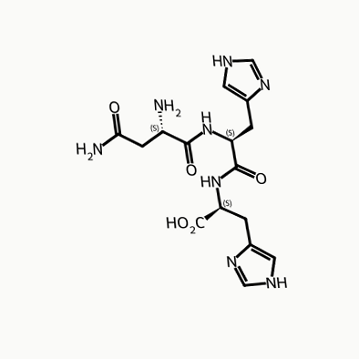 NC(=O)C[C@H](N)C(=O)N[C@@H](Cc1c[nH]cn1)C(=O)N[C@@H](Cc1c[nH]cn1)C(=O)O